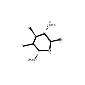 CCC1O[C@H](OC)C(C)[C@@H](C)[C@@H]1OC